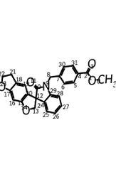 COC(=O)c1ccc(CN2C(=O)C3(COc4cc5c(cc43)CCO5)c3ccccc32)cc1